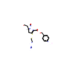 C[C@@H](O)[C@H]1C(=O)N2C(C(=O)OCc3ccc([N+](=O)[O-])cc3)=C(SCCNC=N)C[C@H]12